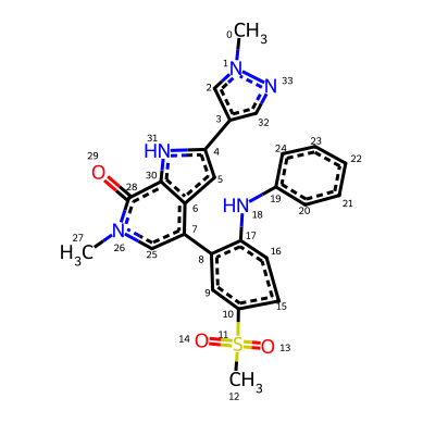 Cn1cc(-c2cc3c(-c4cc(S(C)(=O)=O)ccc4Nc4ccccc4)cn(C)c(=O)c3[nH]2)cn1